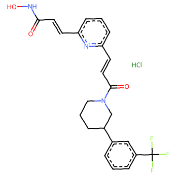 Cl.O=C(C=Cc1cccc(C=CC(=O)N2CCCC(c3cccc(C(F)(F)F)c3)C2)n1)NO